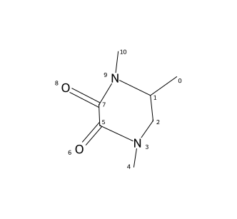 CC1CN(C)C(=O)C(=O)N1C